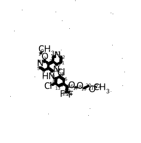 CCOc1nccc2c(Nc3c(Cl)cc(C(OCOCCOC)=C(F)F)cc3Cl)nc3ccncc3c12